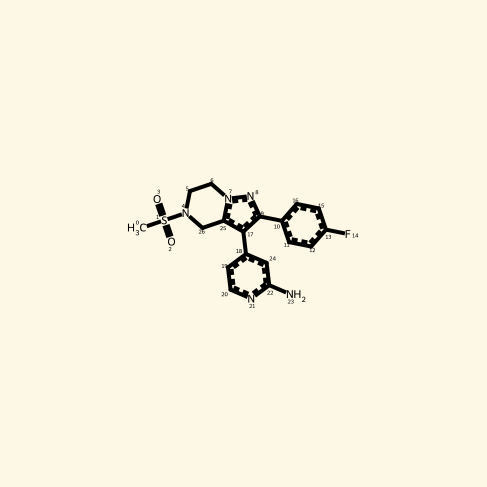 CS(=O)(=O)N1CCn2nc(-c3ccc(F)cc3)c(-c3ccnc(N)c3)c2C1